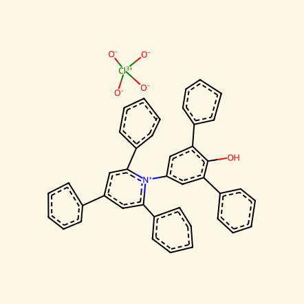 Oc1c(-c2ccccc2)cc(-[n+]2c(-c3ccccc3)cc(-c3ccccc3)cc2-c2ccccc2)cc1-c1ccccc1.[O-][Cl+3]([O-])([O-])[O-]